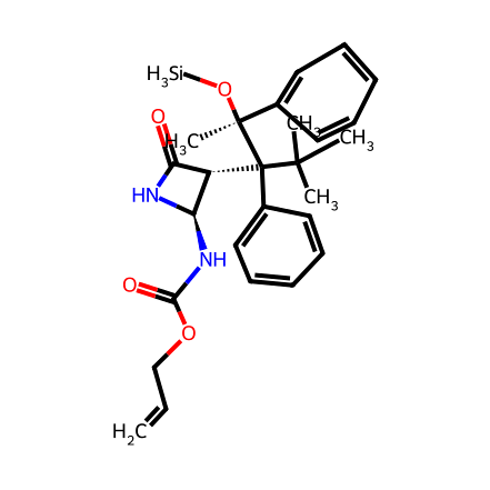 C=CCOC(=O)N[C@H]1NC(=O)[C@@H]1C(c1ccccc1)(C(C)(C)C)[C@@](C)(O[SiH3])c1ccccc1